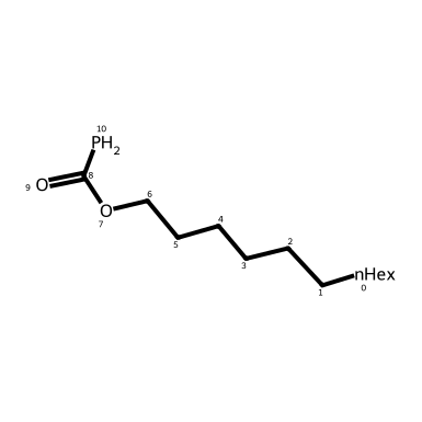 CCCCCCCCCCCCOC(=O)P